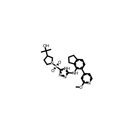 COc1cc(-c2ccc3c(c2Nc2nnc(S(=O)(=O)N4CCC(C(C)(C)O)C4)[nH]2)CCC3)ccn1